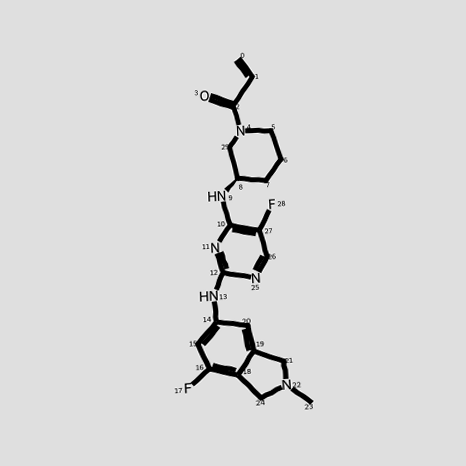 C=CC(=O)N1CCC[C@@H](Nc2nc(Nc3cc(F)c4c(c3)CN(C)C4)ncc2F)C1